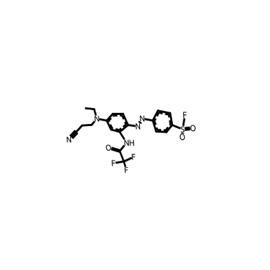 CCN(CCC#N)c1ccc(N=Nc2ccc(S(=O)(=O)F)cc2)c(NC(=O)C(F)(F)F)c1